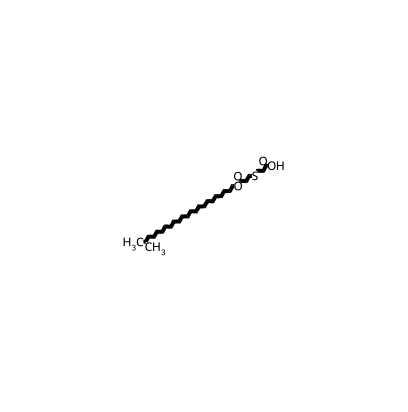 CC(C)CCCCCCCCCCCCCCCCCCCCCOC(=O)CCSCCC(=O)O